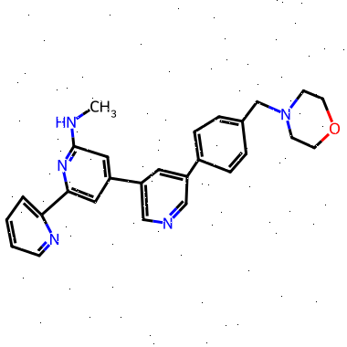 CNc1cc(-c2cncc(-c3ccc(CN4CCOCC4)cc3)c2)cc(-c2ccccn2)n1